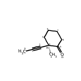 CC#C[C@@]1(C)CCCCC1=O